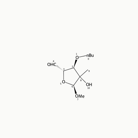 CCCCO[C@@H]1[C@@H](C=O)O[C@H](OC)C1(C)O